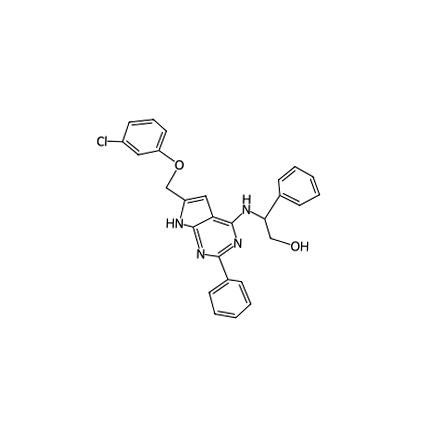 OCC(Nc1nc(-c2ccccc2)nc2[nH]c(COc3cccc(Cl)c3)cc12)c1ccccc1